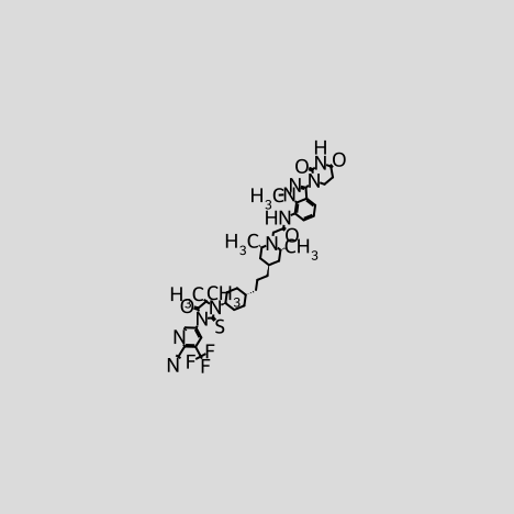 C[C@@H]1C[C@@H](CCC[C@H]2CC[C@H](N3C(=S)N(c4cnc(C#N)c(C(F)(F)F)c4)C(=O)C3(C)C)CC2)C[C@H](C)N1CC(=O)Nc1cccc2c(N3CCC(=O)NC3=O)nn(C)c12